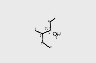 CCC(C)[C@@H](O)CC